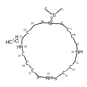 Cl.Cl.[CH3][Ti]([CH3])[N]1CCCCNCCCCNCCCCNCCCC1